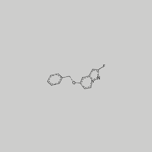 Fc1cc2cc(OCc3ccccc3)ccn2n1